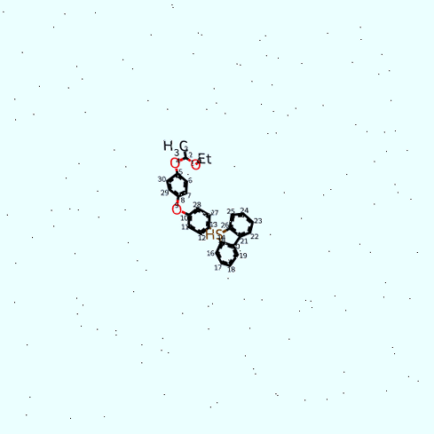 CCOC(C)Oc1ccc(Oc2ccc([SH]3c4ccccc4-c4ccccc43)cc2)cc1